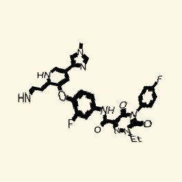 CCn1nc(C(=O)Nc2ccc(OC3=CC(c4cn(C)cn4)=CN/C3=C\C=N)c(F)c2)c(=O)n(-c2ccc(F)cc2)c1=O